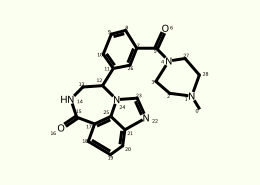 CN1CCN(C(=O)c2cccc(C3CNC(=O)c4cccc5ncn3c45)c2)CC1